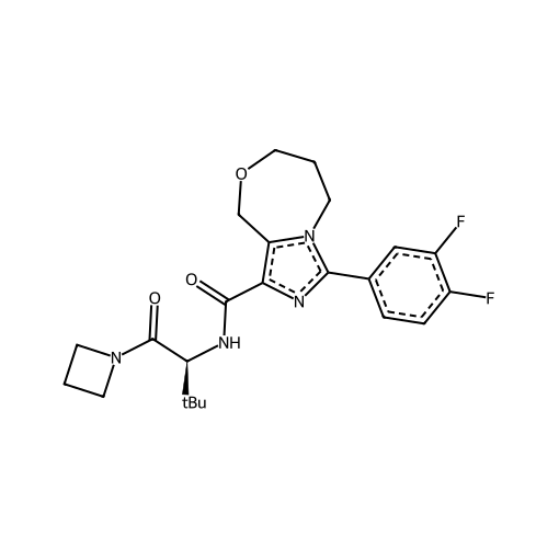 CC(C)(C)[C@H](NC(=O)c1nc(-c2ccc(F)c(F)c2)n2c1COCCC2)C(=O)N1CCC1